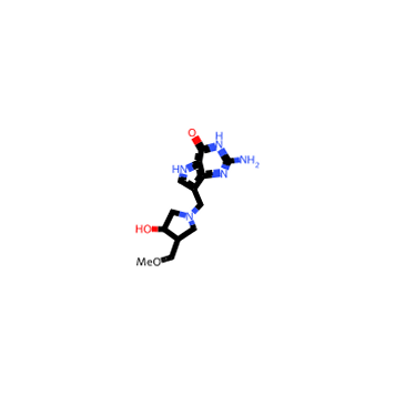 COCC1CN(Cc2c[nH]c3c(=O)[nH]c(N)nc23)CC1O